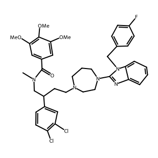 COc1cc(C(=O)N(C)CC(CCN2CCCN(c3nc4ccccc4n3Cc3ccc(F)cc3)CC2)c2ccc(Cl)c(Cl)c2)cc(OC)c1OC